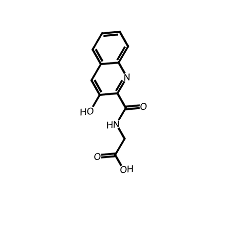 O=C(O)CNC(=O)c1nc2ccccc2cc1O